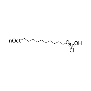 CCCCCCCCCCCCCCCCCC[O][Sn]([OH])[Cl]